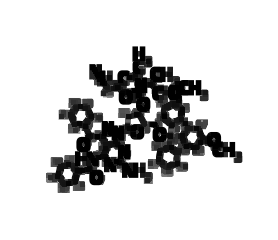 COc1ccc(C(OC[C@H]2O[C@H](n3nc(C(=O)c4ccccc4)c4c(NC(=O)c5ccccc5)nc(N)nc43)C[C@@H]2OP(OCCC#N)N(C(C)C)C(C)C)(c2ccccc2)c2ccc(OC)cc2)cc1